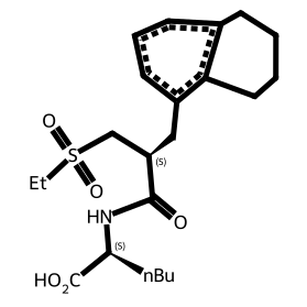 CCCC[C@H](NC(=O)[C@H](Cc1cccc2c1CCCC2)CS(=O)(=O)CC)C(=O)O